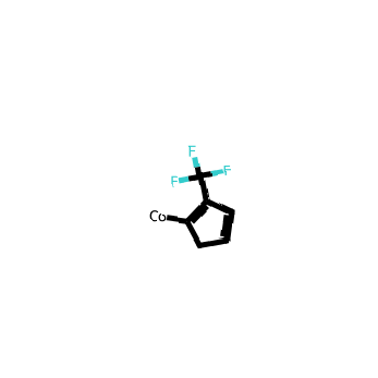 FC(F)(F)C1=[C]([Co])CC=C1